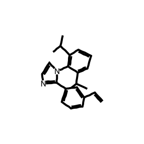 C=Cc1cccc(-c2nccn2-c2c(C(C)C)cccc2C(C)C)c1